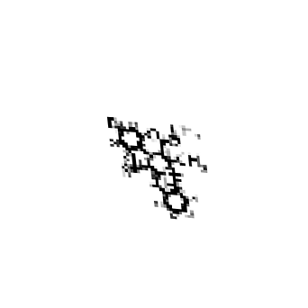 COC(=O)C1=C(C)NC(Cc2ccccc2F)=C(C#N)C1c1ccc(F)cc1Cl